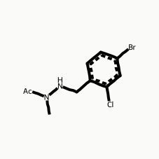 CC(=O)N(C)NCc1ccc(Br)cc1Cl